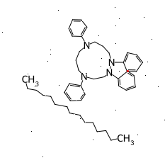 CCCCCCCCCCCCCCC.c1ccc(N2CCCN(c3ccccc3)CCN(c3ccccc3)N(c3ccccc3)CCC2)cc1